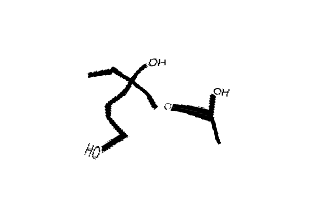 CC(=O)O.CCC(C)(O)CCO